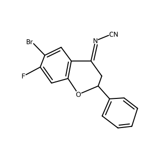 N#CN=C1CC(c2ccccc2)Oc2cc(F)c(Br)cc21